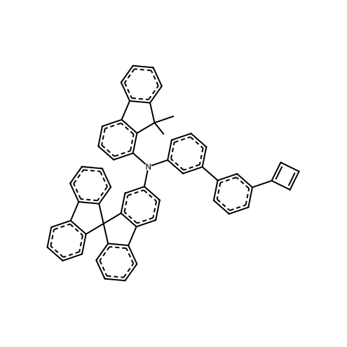 CC1(C)c2ccccc2-c2cccc(N(c3cccc(-c4cccc(C5=CC=C5)c4)c3)c3ccc4c(c3)C3(c5ccccc5-c5ccccc53)c3ccccc3-4)c21